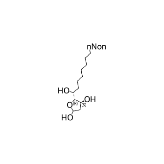 CCCCCCCCCCCCCCCCC(O)[C@H]1OC(O)C[C@@H]1O